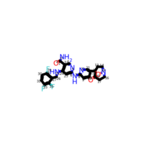 NC(=O)c1cnc(Nc2ccc(C34CCN(CCC3=O)O4)cn2)cc1NCc1c(F)ccc(F)c1F